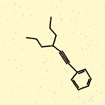 CCCC(C#Cc1ccccc1)CCC